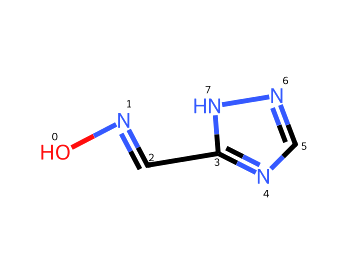 O/N=C/c1ncn[nH]1